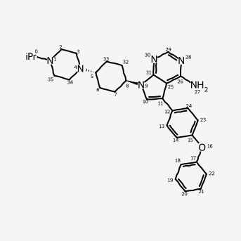 CC(C)N1CCN([C@H]2CC[C@H](n3cc(-c4ccc(Oc5ccccc5)cc4)c4c(N)ncnc43)CC2)CC1